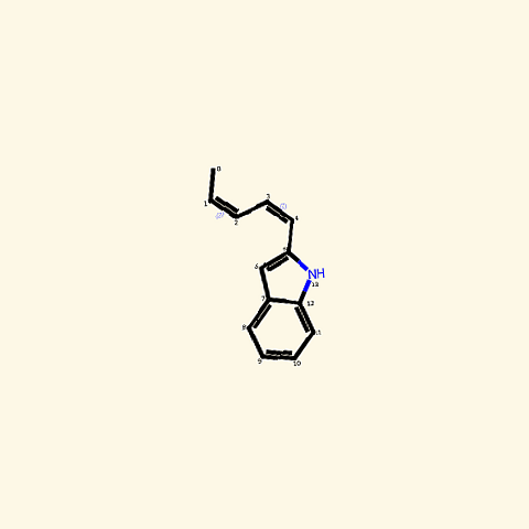 C/C=C\C=C/c1cc2ccccc2[nH]1